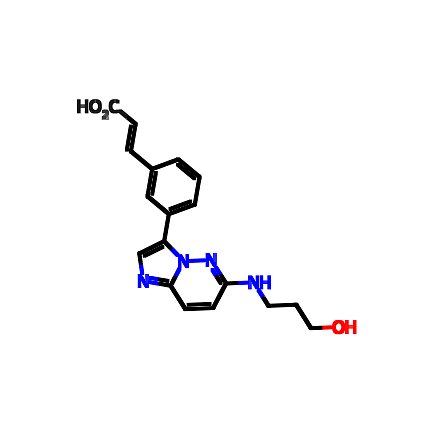 O=C(O)/C=C/c1cccc(-c2cnc3ccc(NCCCO)nn23)c1